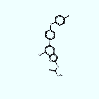 CNC(=O)Oc1cc2cc(-c3ccc(Oc4ccc(F)cc4)cc3)cc(Cl)c2o1